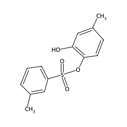 Cc1cccc(S(=O)(=O)Oc2ccc(C)cc2O)c1